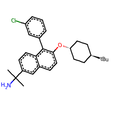 CC(C)(N)c1ccc2c(-c3cccc(Cl)c3)c(O[C@H]3CC[C@H](C(C)(C)C)CC3)ccc2c1